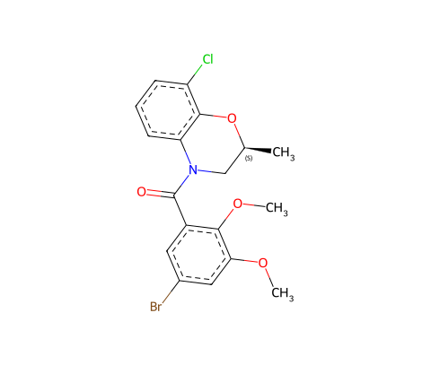 COc1cc(Br)cc(C(=O)N2C[C@H](C)Oc3c(Cl)cccc32)c1OC